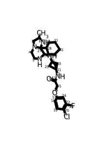 CC1CN2CCNC(NC34CC(NC(=O)COc5ccc(Cl)c(F)c5)(C3)C4)C2(C2CCCCC2)N1